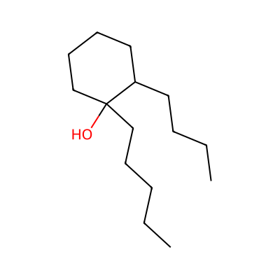 CCCCCC1(O)CCCCC1CCCC